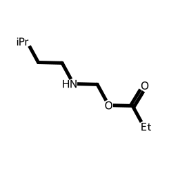 CCC(=O)OCNCCC(C)C